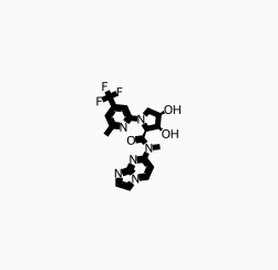 Cc1cc(C(F)(F)F)cc(N2C[C@@H](O)[C@@H](O)[C@H]2C(=O)N(C)c2ccn3ccnc3n2)n1